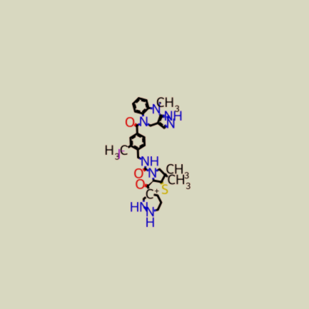 Cc1cc(C(=O)N2Cc3cn[nH]c3N(C)c3ccccc32)ccc1CNC(=O)N1CC(C)(C)C(=S)[C@H]1C(=O)[C+]1CCCNNC1.[I-]